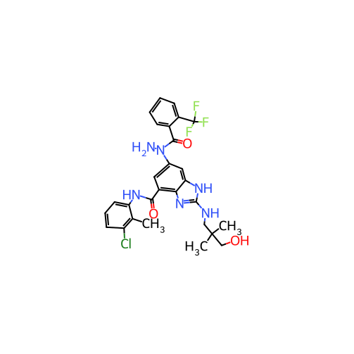 Cc1c(Cl)cccc1NC(=O)c1cc(N(N)C(=O)c2ccccc2C(F)(F)F)cc2[nH]c(NCC(C)(C)CO)nc12